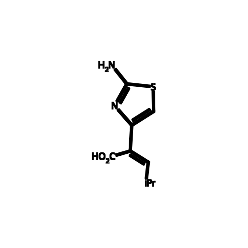 CC(C)C=C(C(=O)O)c1csc(N)n1